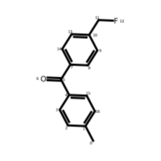 Cc1ccc(C(=O)c2ccc(CF)cc2)cc1